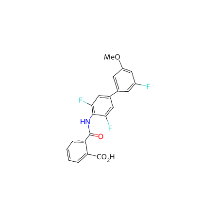 COc1cc(F)cc(-c2cc(F)c(NC(=O)c3ccccc3C(=O)O)c(F)c2)c1